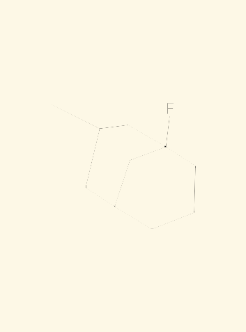 CC1CC2CCCC(F)(C1)C2